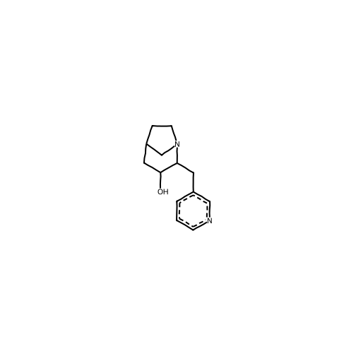 OC1CC2CCN(C2)C1Cc1cccnc1